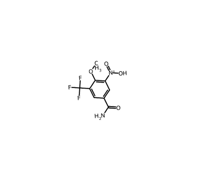 COc1c([N+](=O)O)cc(C(N)=O)cc1C(F)(F)F